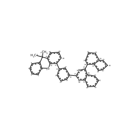 CC1(C)c2ccccc2Sc2c(-c3cccc(-c4nc(-c5cccc6ccccc56)c5ccccc5n4)c3)cccc21